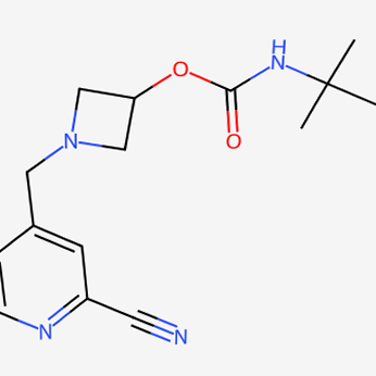 CC(C)(C)NC(=O)OC1CN(Cc2ccnc(C#N)c2)C1